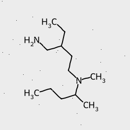 CCCC(C)N(C)CCC(CC)CN